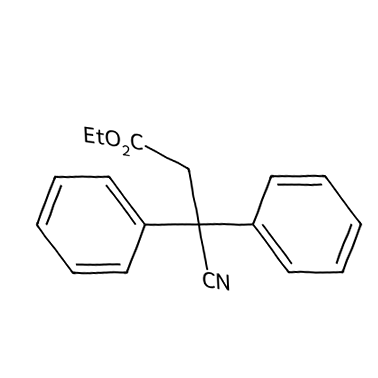 CCOC(=O)CC(C#N)(c1ccccc1)c1ccccc1